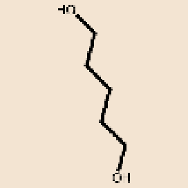 OC[CH]CCCO